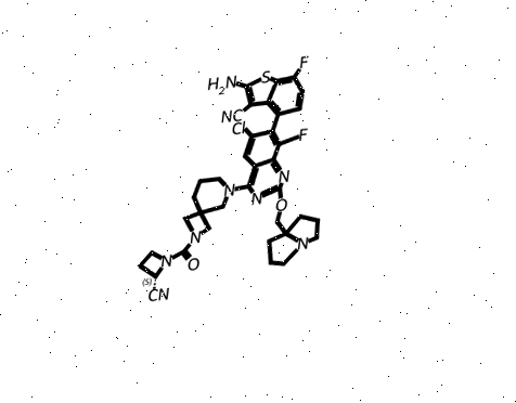 N#Cc1c(N)sc2c(F)ccc(-c3c(Cl)cc4c(N5CCCC6(CN(C(=O)N7CC[C@H]7C#N)C6)C5)nc(OCC56CCCN5CCC6)nc4c3F)c12